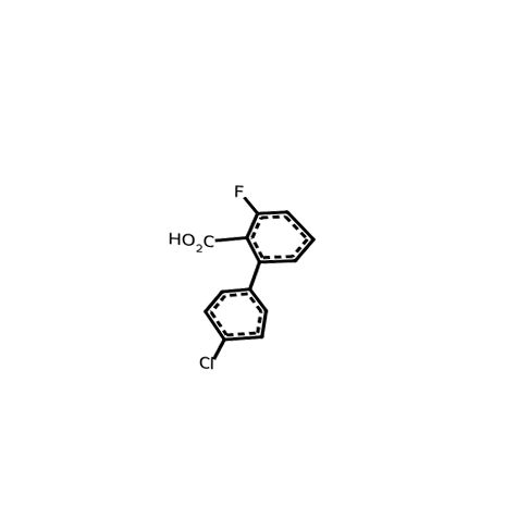 O=C(O)c1c(F)cccc1-c1ccc(Cl)cc1